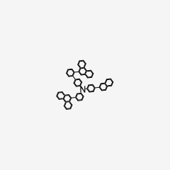 c1cc(-c2cc3ccccc3c3ccccc23)cc(N(c2ccc(-c3ccc4ccccc4c3)cc2)c2ccc(-c3ccccc3-c3cc4ccccc4c4ccccc34)cc2)c1